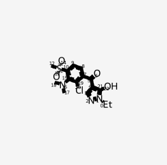 CCn1ncc(C(=O)c2ccc(S(C)(=O)=O)c(N(C)C)c2Cl)c1O